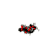 C=C(N/C=C\CSCCN)[S+]([O-])C[C@H](NC(=O)CNC(=O)[C@H](NC(=O)CNC(C)=O)[C@@H](C)CC)C(=O)N[C@@H](CC(N)=O)C(=O)N1C[C@H](O)C[C@@H]1C(=O)N[C@H](C(=O)NC[C@@H](C)C(C)OC)[C@@H](C)[C@@H](O)CO